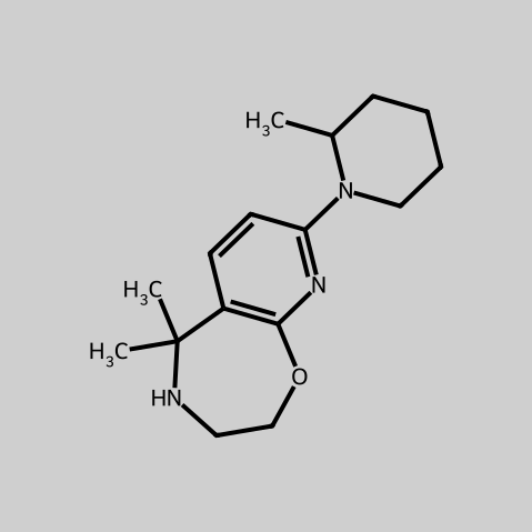 CC1CCCCN1c1ccc2c(n1)OCCNC2(C)C